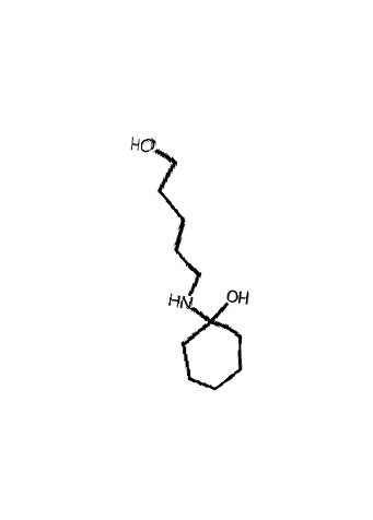 OCCCCCNC1(O)CCCCC1